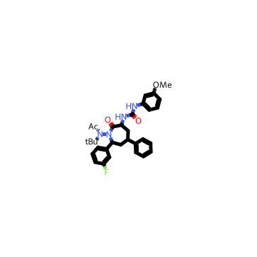 COc1cccc(NC(=O)NC2CC(c3ccccc3)CC(c3cccc(F)c3)N(N(C(C)=O)C(C)(C)C)C2=O)c1